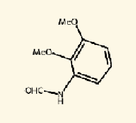 COc1cccc(N[C]=O)c1OC